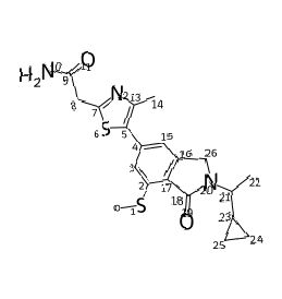 CSc1cc(-c2sc(CC(N)=O)nc2C)cc2c1C(=O)N(C(C)C1CC1)C2